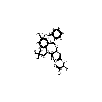 C[C@H](OC(=O)C[C@@H]1O[C@@H](c2ccccc2Cl)c2cc(Cl)ccc2N(CC(C)(C)C)C1=O)C(=O)O